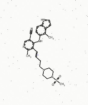 Cc1ncc(C#N)c(Nc2ccc3[nH]ccc3c2C)c1/C=C/CCN1CCN(S(C)(=O)=O)CC1